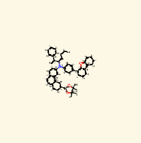 C=C(/C(=C\C=C/C)N(c1ccc(-c2cccc3c2oc2ccccc23)cc1)c1ccc2ccc3ccc(B4OC(C)(C)C(C)(C)O4)cc3c2c1)c1ccccc1